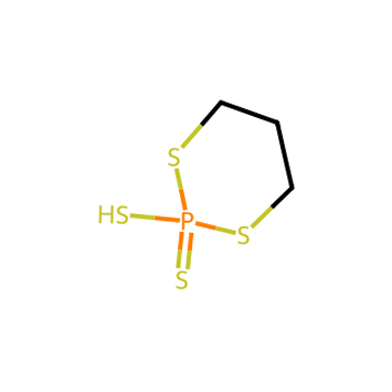 S=P1(S)SCCCS1